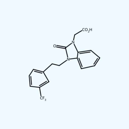 O=C(O)Cn1c(=O)n(CCc2cccc(C(F)(F)F)c2)c2ccccc21